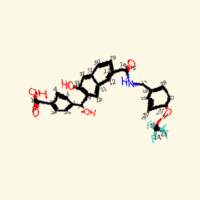 O=C(O)c1ccc(C(O)c2cc3cc(C(=O)NCc4ccc(OC(F)(F)F)cc4)ccc3cc2O)cc1